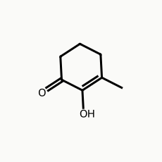 CC1=C(O)C(=O)CCC1